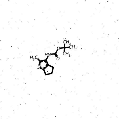 Cc1sc2c(c1NC(=O)OC(C)(C)C)CCC2